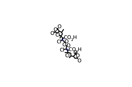 CC(CC(C)(Cl)/C(C(=O)O)=C(\Cl)C(=O)OC(=O)/C(Cl)=C(\C(=O)O)C(C)(Cl)CC(C)C1CC(=O)OC1=O)C1CC(=O)OC1=O